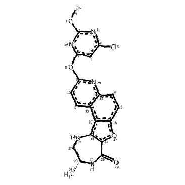 CC(C)Oc1nc(Cl)cc(Oc2ccc3c(ccc4oc5c(c43)NC[C@@H](C)NC5=O)n2)n1